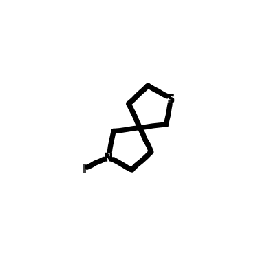 IN1CCC2(CCSC2)C1